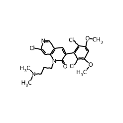 COc1cc(OC)c(Cl)c(-c2cc3cnc(Cl)cc3n(CCCN(C)C)c2=O)c1Cl